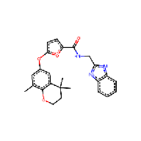 Cc1cc(Oc2ccc(C(=O)NCc3nc4ccccc4[nH]3)o2)cc2c1OCCC2(C)C